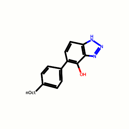 CCCCCCCCc1ccc(-c2ccc3[nH]nnc3c2O)cc1